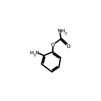 NC(=O)Oc1ccccc1N